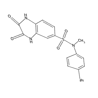 CC(C)c1ccc(N(C)S(=O)(=O)c2ccc3[nH]c(=O)c(=O)[nH]c3c2)cc1